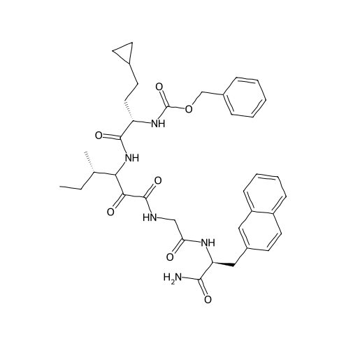 CC[C@H](C)C(NC(=O)[C@H](CCC1CC1)NC(=O)OCc1ccccc1)C(=O)C(=O)NCC(=O)N[C@@H](Cc1ccc2ccccc2c1)C(N)=O